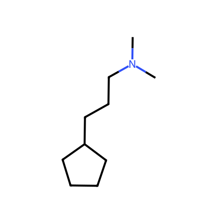 CN(C)CCCC1CCCC1